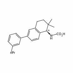 CCCc1cccc(-c2ccc3c(c2)CCC(C)(C)[C@H]3NC(=O)O)c1